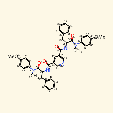 COc1ccc(N(C)C(=O)C(Cc2ccccc2)NC(=O)c2cncc(C(=O)N[C@@H](Cc3ccccc3)C(=O)N(C)c3ccc(OC)cc3)c2)cc1